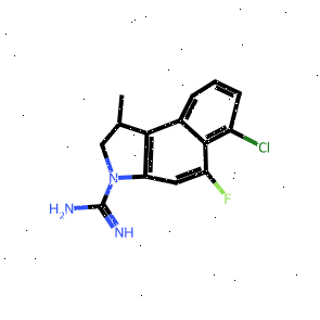 CC1CN(C(=N)N)c2cc(F)c3c(Cl)cccc3c21